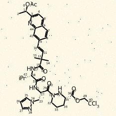 CC(=O)O[C@H](C)c1ccc2ccc(/C=C/C(C)(C)C(=O)N[C@H](C(=O)N[C@@H](Cn3cccn3)C(=O)N3CCC[C@@H](C(=O)OCC(Cl)(Cl)Cl)N3)C(C)C)cc2n1